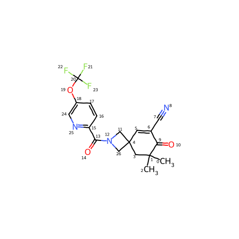 CC1(C)CC2(C=C(C#N)C1=O)CN(C(=O)c1ccc(OC(F)(F)F)cn1)C2